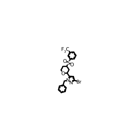 O=S(=O)(c1cccc(C(F)(F)F)c1)C1CCOC(c2cc(Br)nn2Cc2ccccc2)C1